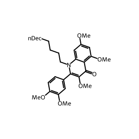 CCCCCCCCCCCCCCn1c(-c2ccc(OC)c(OC)c2)c(OC)c(=O)c2c(OC)cc(OC)cc21